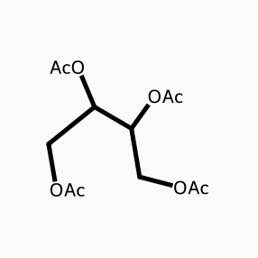 CC(=O)OCC(OC(C)=O)C(COC(C)=O)OC(C)=O